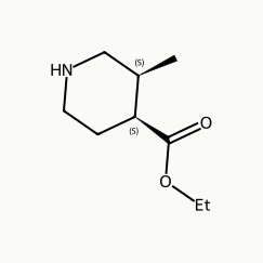 CCOC(=O)[C@H]1CCNC[C@H]1C